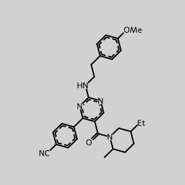 CCC1CCC(C)N(C(=O)c2cnc(NCCc3ccc(OC)cc3)nc2-c2ccc(C#N)cc2)C1